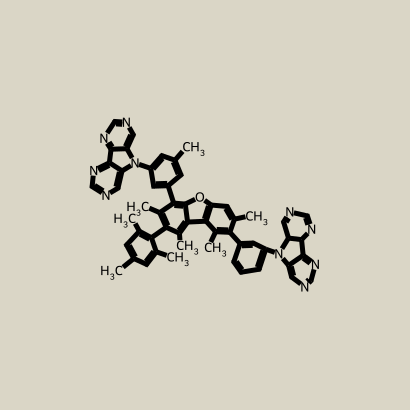 Cc1cc(-c2c(C)c(-c3c(C)cc(C)cc3C)c(C)c3c2oc2cc(C)c(-c4cccc(N5c6cncnc6C6N=CN=CC65)c4)c(C)c23)cc(-n2c3cncnc3c3ncncc32)c1